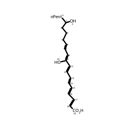 CCCCCC(O)CCCC=CC=C(O)C=CC=CC=CC=CC(=O)O